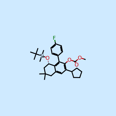 COC(=O)Oc1c(C2CCCC2)cc2c(c1-c1ccc(F)cc1)[C@@H](O[Si](C)(C)C(C)(C)C)CC(C)(C)C2